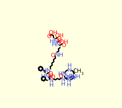 CC12CNCCNCC(NC(=O)CCCC(=O)N[C@H](Cc3ccccc3)C(=O)N[C@H](CCc3ccccc3)C(=O)NCCCCCCCC(=O)NCCCC[C@H](NC(=O)N[C@@H](CCC(=O)O)C(=O)O)C(=O)O)(CNCCNC1)CNCCNC2